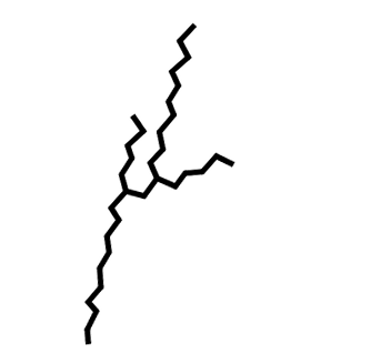 CCCCCCCCCCC(CCCCC)CC(CCCCC)CCCCCCCCCC